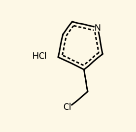 Cl.ClCc1cccnc1